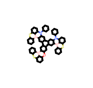 c1ccc(N2c3cc4c(cc3B3c5ccccc5Sc5cccc2c53)c2cc3c(cc2c2cc5c(cc24)N(c2ccccc2)c2cccc4c2B5c2ccccc2S4)B2c4ccccc4Sc4cccc(c42)O3)cc1